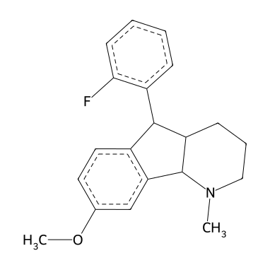 COc1ccc2c(c1)C1C(CCCN1C)C2c1ccccc1F